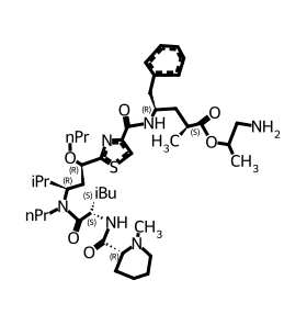 CCCO[C@H](C[C@H](C(C)C)N(CCC)C(=O)[C@@H](NC(=O)[C@H]1CCCCN1C)[C@@H](C)CC)c1nc(C(=O)N[C@@H](Cc2ccccc2)C[C@H](C)C(=O)OC(C)CN)cs1